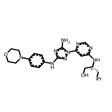 CC(C)C[C@H](CO)Nc1cc(-n2nc(Nc3ccc(N4CCOCC4)cc3)nc2N)ncn1